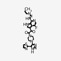 C/C=C\N=N/Nc1ncc(F)c2c(C(=O)C(=O)N3CCN(c4nn[nH]c4-c4nccs4)CC3)c[nH]c12